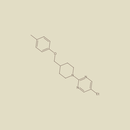 CCc1cnc(N2CCC(COc3ccc(C)cc3)CC2)nc1